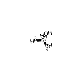 B=[SH](O)=P